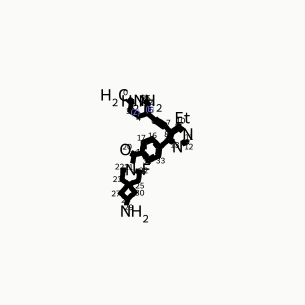 C=C(N)/C=C\C(C#Cc1c(CC)ncnc1-c1ccc(C(=O)N2CCC3(CC2)CC(N)C3)c(F)c1)=C/N